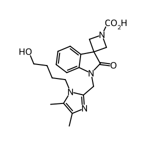 Cc1nc(CN2C(=O)C3(CN(C(=O)O)C3)c3ccccc32)n(CCCCO)c1C